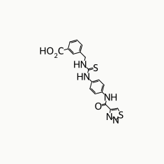 O=C(O)c1cccc(CNC(=S)Nc2ccc(NC(=O)c3csnn3)cc2)c1